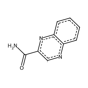 NC(=O)c1[c]nc2ccccc2n1